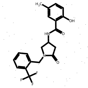 Cc1ccc(O)c(C(=O)NC2CC(=O)N(Cc3ccccc3C(F)(F)F)C2)c1